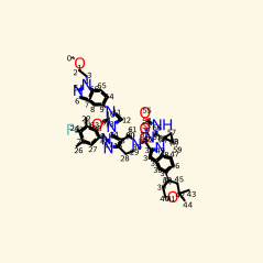 COCCn1ncc2cc(-n3ccn(-c4c5c(nn4-c4cc(C)c(F)c(C)c4)CCN(C(=O)c4cc6cc([C@@H]7CCOC(C)(C)C7)ccc6n4[C@@]4(c6noc(=O)[nH]6)C[C@@H]4C)[C@H]5C)c3=O)ccc21